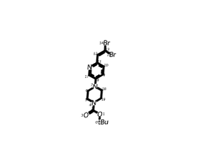 CC(C)(C)OC(=O)N1CCN(c2ccc(C=C(Br)Br)nc2)CC1